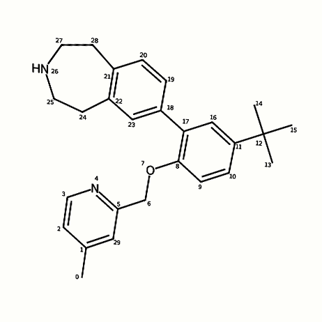 Cc1ccnc(COc2ccc(C(C)(C)C)cc2-c2ccc3c(c2)CCNCC3)c1